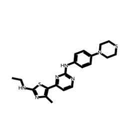 CCNc1nc(C)c(-c2ccnc(Nc3ccc(N4CCSCC4)cc3)n2)s1